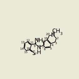 CN1CCc2ccc(NC(=N)C3=CC=CCC3=S)cc2C1